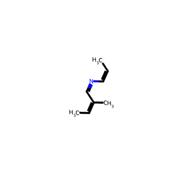 C\C=C/N=C\C(C)=C/C